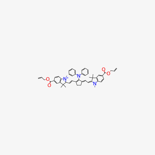 C=CCOC(=O)c1ccc2c(c1)C(C)(C)C(/C=C/C1=C(N(c3ccccc3)c3ccccc3)C(=C/C=C3/N(C)c4ccc(C(=O)OCC=C)cc4C3(C)C)/CC1)=[N+]2C